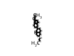 C=CCC[C@@H]1CC[C@@H]2CC(C3CCc4cc(OCC)ccc4C3)CCC2C1